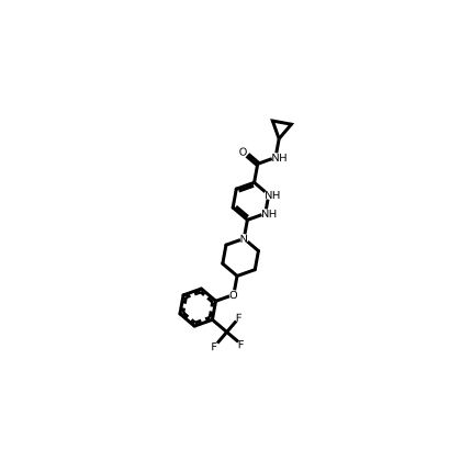 O=C(NC1CC1)C1=CC=C(N2CCC(Oc3ccccc3C(F)(F)F)CC2)NN1